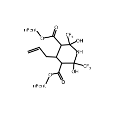 C=CCC1C(C(=O)OCCCCC)C(O)(C(F)(F)F)NC(O)(C(F)(F)F)C1C(=O)OCCCCC